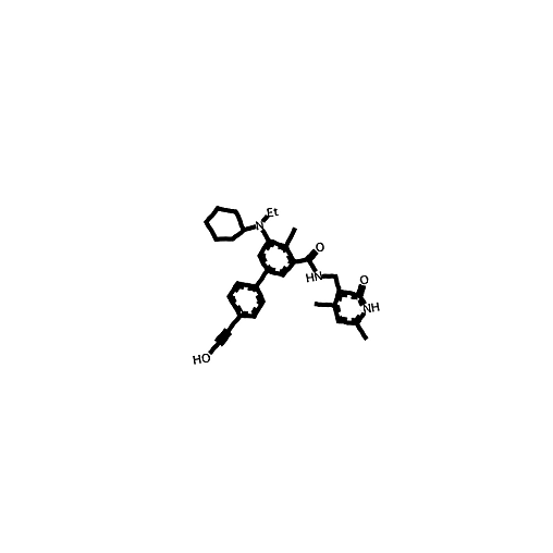 CCN(c1cc(-c2ccc(C#CO)cc2)cc(C(=O)NCc2c(C)cc(C)[nH]c2=O)c1C)C1CCCCC1